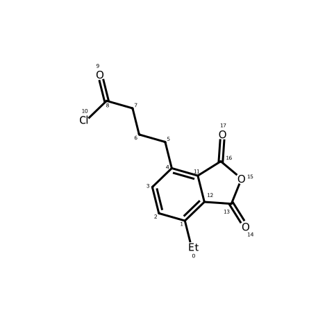 CCc1ccc(CCCC(=O)Cl)c2c1C(=O)OC2=O